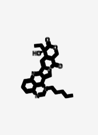 CCCCCn1cnc2c3c(nc4c(cn5c(=O)c6c(cc45)[C@@](O)(CC)C(=O)OC6)c31)=CCC=2